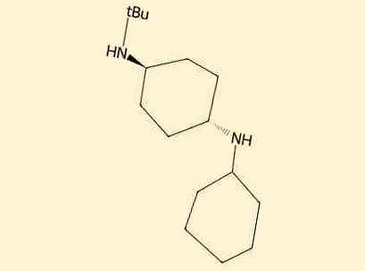 CC(C)(C)N[C@H]1CC[C@H](NC2CCCCC2)CC1